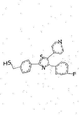 Fc1ccc(-c2nc(-c3ccc(CS)cc3)sc2-c2ccncc2)cc1